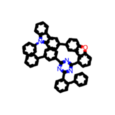 c1ccc(-c2cccc(-c3nc(-c4ccccc4-c4ccccc4)nc(-c4cccc5oc6ccc(-c7ccc8c(c7)c7ccccc7n8-c7ccccc7)cc6c45)n3)c2)cc1